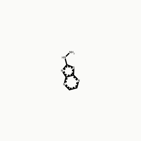 NNc1nc2nccnc2s1